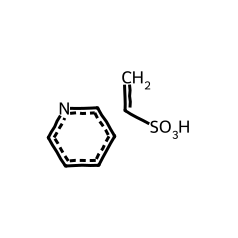 C=CS(=O)(=O)O.c1ccncc1